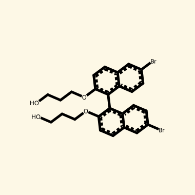 OCCCOc1ccc2cc(Br)ccc2c1-c1c(OCCCO)ccc2cc(Br)ccc12